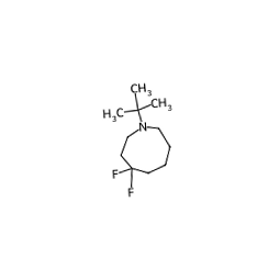 CC(C)(C)N1CCCCC(F)(F)CC1